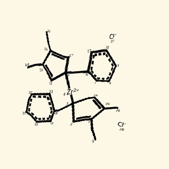 CC1=C[C]([Zr+2][C]2(c3ccccc3)C=C(C)C(C)=C2)(c2ccccc2)C=C1C.[Cl-].[Cl-]